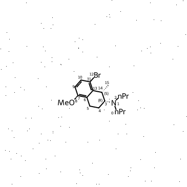 CCCN(CCC)[C@@H]1CCc2c(OC)ccc(Br)c2[C@@H]1C